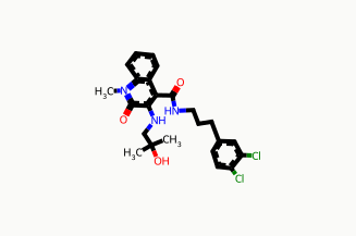 Cn1c(=O)c(NCC(C)(C)O)c(C(=O)NCCCc2ccc(Cl)c(Cl)c2)c2ccccc21